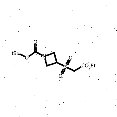 CCOC(=O)CS(=O)(=O)C1CN(C(=O)OC(C)(C)C)C1